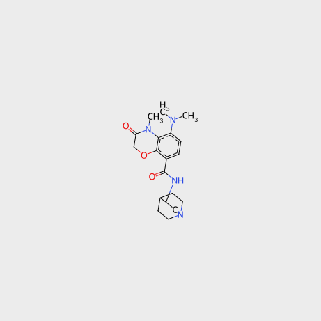 CN(C)c1ccc(C(=O)NC2CN3CCC2CC3)c2c1N(C)C(=O)CO2